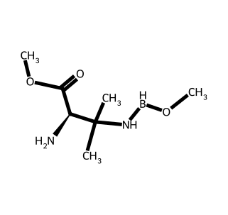 COBNC(C)(C)[C@@H](N)C(=O)OC